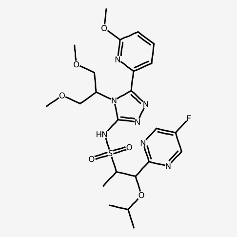 COCC(COC)n1c(NS(=O)(=O)C(C)C(OC(C)C)c2ncc(F)cn2)nnc1-c1cccc(OC)n1